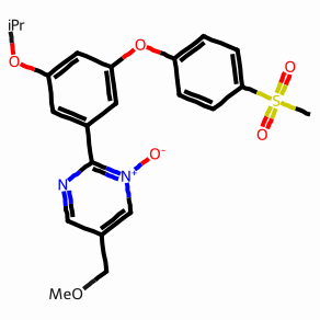 COCc1cnc(-c2cc(Oc3ccc(S(C)(=O)=O)cc3)cc(OC(C)C)c2)[n+]([O-])c1